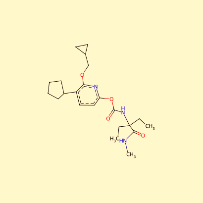 CCC(CC)(NC(=O)Oc1ccc(C2CCCC2)c(OCC2CC2)n1)C(=O)NC